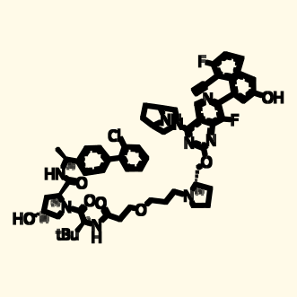 C#Cc1c(F)ccc2cc(O)cc(-c3ncc4c(N5CC6CCC(C5)N6)nc(OC[C@@H]5CCCN5CCCOCCC(=O)N[C@H](C(=O)N5C[C@H](O)C[C@H]5C(=O)N[C@@H](C)c5ccc(-c6ccccc6Cl)cc5)C(C)(C)C)nc4c3F)c12